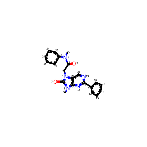 CN(C(=O)Cn1c(=O)n(C)c2nc(-c3ccccc3)ncc21)c1ccccc1